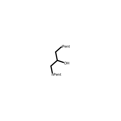 CCCCCCC(O)CC(C)CCC